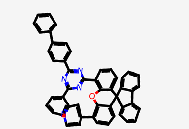 c1ccc(-c2ccc(-c3nc(-c4ccccc4)nc(-c4cccc5c4Oc4c(-c6ccncc6)cccc4C54c5ccccc5-c5ccccc54)n3)cc2)cc1